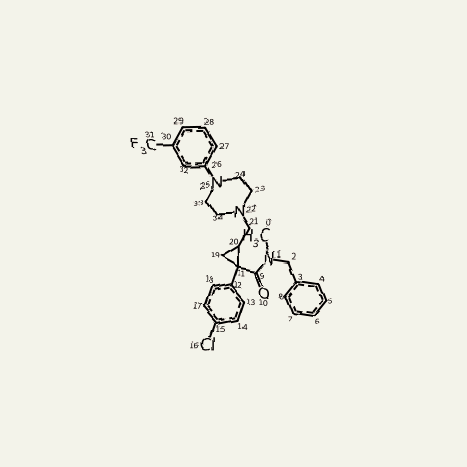 CN(Cc1ccccc1)C(=O)C1(c2ccc(Cl)cc2)CC1CN1CCN(c2cccc(C(F)(F)F)c2)CC1